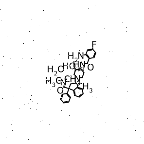 CC(CC(C(=O)N(C)C)(c1ccccc1)c1ccccc1)N1CC[C@H](NC(=O)c2ccc(F)cc2N)[C@@H](O)C1.O